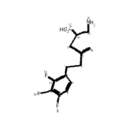 CC(CCc1ccc(F)c(F)c1F)CC(CN)C(=O)O